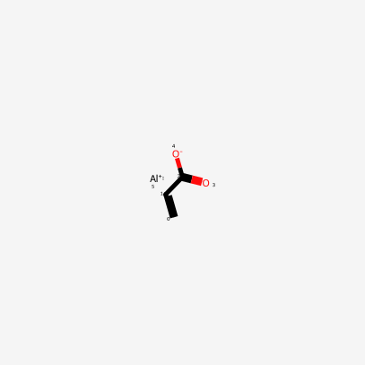 C=CC(=O)[O-].[Al+]